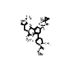 CO/N=c1\[nH]c2c(C3=CCN(C(=O)OC(C)(C)C)[C@H](C)C3)cc(S(=O)(=O)NC3(C)CC3)cc2c(=O)n1Cc1cnn(C)c1